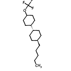 CCCCC[C@H]1CC[C@H](C2CCC(OC(F)(F)F)CC2)CC1